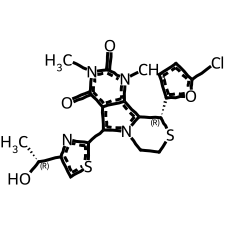 C[C@@H](O)c1csc(-c2c3c(=O)n(C)c(=O)n(C)c3c3n2CCS[C@H]3c2ccc(Cl)o2)n1